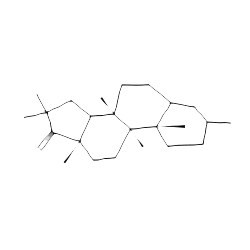 CC1CC[C@@]2(C)C(CC[C@@H]3[C@H]2CC[C@]2(C)C(=O)C(F)(F)C[C@@H]32)C1